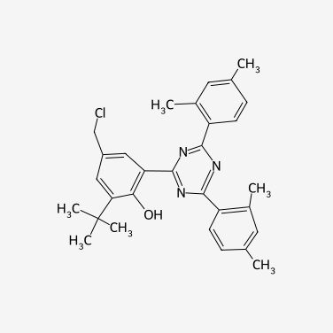 Cc1ccc(-c2nc(-c3ccc(C)cc3C)nc(-c3cc(CCl)cc(C(C)(C)C)c3O)n2)c(C)c1